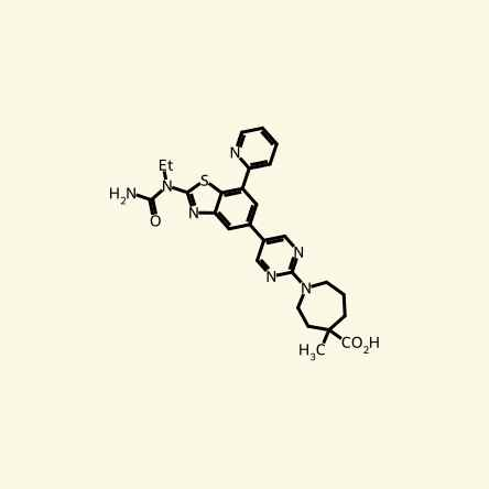 CCN(C(N)=O)c1nc2cc(-c3cnc(N4CCCC(C)(C(=O)O)CC4)nc3)cc(-c3ccccn3)c2s1